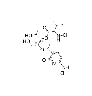 CC(C)C(NCl)C(=O)O[C@H](C(C)O)[C@@H](CO)OC(C)n1ccc(NCl)nc1=O